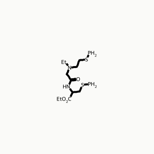 CCOC(=O)C(CSP)NC(=O)CN(CC)CCSP